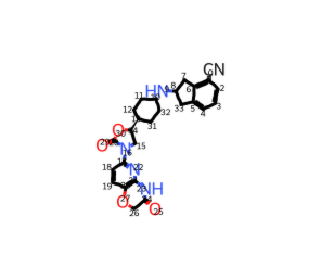 N#Cc1cccc2c1CC(N[C@H]1CC[C@H](C3CN(c4ccc5c(n4)NC(=O)CO5)C(=O)O3)CC1)C2